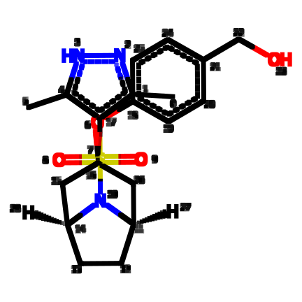 Cc1n[nH]c(C)c1S(=O)(=O)N1[C@@H]2CC[C@H]1C[C@@H](Oc1ccc(CO)cc1)C2